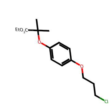 CCOC(=O)C(C)(C)Oc1ccc(OCCCCl)cc1